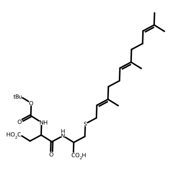 CC(C)=CCC/C(C)=C/CC/C(C)=C/CSCC(NC(=O)C(CC(=O)O)NC(=O)OC(C)(C)C)C(=O)O